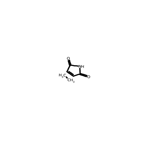 CC.O=C1C=CC(=O)N1